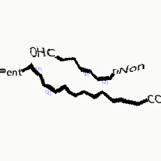 CCCCC/C=C\C=C/CCCCCCCCC(=O)O.CCCCCCCCC/C=C\C=C\CCC=O